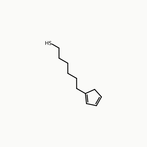 SCCCCCCC1=CC=CC1